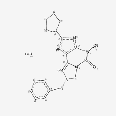 CCCN1C(=O)N2C[C@H](Cc3ccccc3)N=C2c2[nH]c(C3CCCC3)nc21.Cl